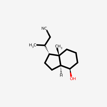 CC(CC#N)[C@H]1CC[C@@H]2[C@H](O)CCC[C@@]12C